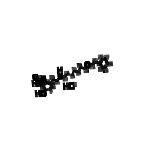 Cl.O=c1[nH]c2c(O)ccc(CCNCCCCCCCOCCc3ccccc3)c2s1